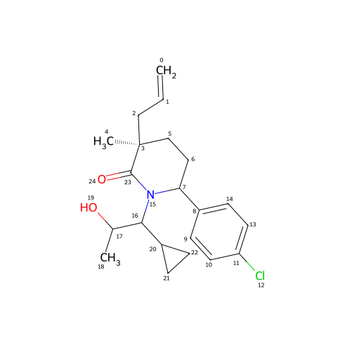 C=CC[C@@]1(C)CCC(c2ccc(Cl)cc2)N(C(C(C)O)C2CC2)C1=O